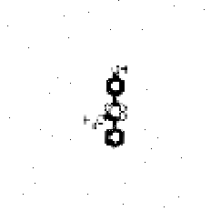 CC(OC(=O)c1ccc(O)cc1)C(=O)c1ccccc1